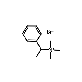 CC(c1ccccc1)[N+](C)(C)C.[Br-]